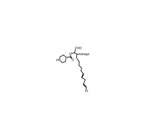 CCC=CCC=CCCCCCC(CCCCCCC)C(C=O)OC(=O)N1CCNCC1